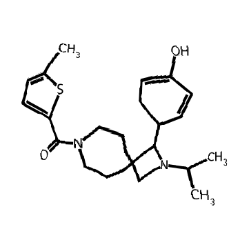 Cc1ccc(C(=O)N2CCC3(CC2)CN(C(C)C)C3C2C=CC(O)=CC2)s1